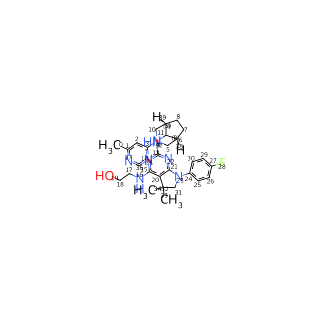 Cc1cc(N2C[C@H]3CC[C@@H](C2)C3Nc2nc(NCCO)c3c(n2)N(c2ccc(F)cc2)CC3(C)C)ncn1